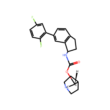 O=C(NC1CCc2ccc(-c3cc(F)ccc3F)cc21)O[C@H]1CN2CCC1CC2